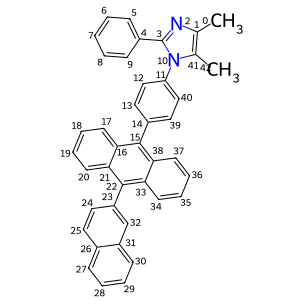 Cc1nc(-c2ccccc2)n(-c2ccc(-c3c4ccccc4c(-c4ccc5ccccc5c4)c4ccccc34)cc2)c1C